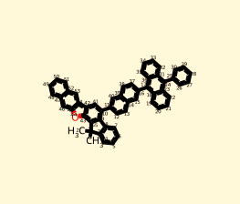 CC1(C)c2ccccc2-c2c(-c3ccc4cc(-c5c6ccccc6c(-c6ccccc6)c6ccccc56)ccc4c3)cc3c(oc4cc5ccccc5cc43)c21